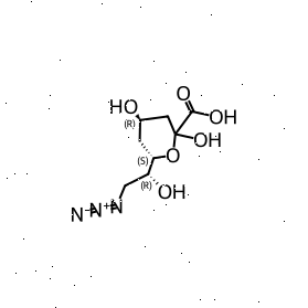 [N-]=[N+]=NC[C@@H](O)[C@@H]1C[C@@H](O)CC(O)(C(=O)O)O1